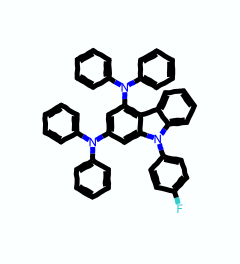 Fc1ccc(-n2c3ccccc3c3c(N(c4ccccc4)c4ccccc4)cc(N(c4ccccc4)c4ccccc4)cc32)cc1